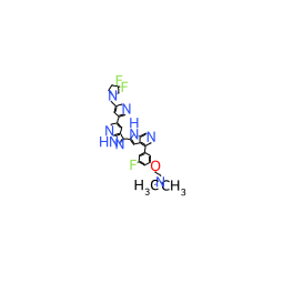 CN(C)CCOc1cc(F)cc(-c2cncc3[nH]c(-c4n[nH]c5ncc(-c6cncc(CN7CCC(F)(F)C7)c6)cc45)cc23)c1